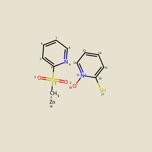 CS(=O)(=O)c1ccccn1.[O-][n+]1ccccc1S.[Zn]